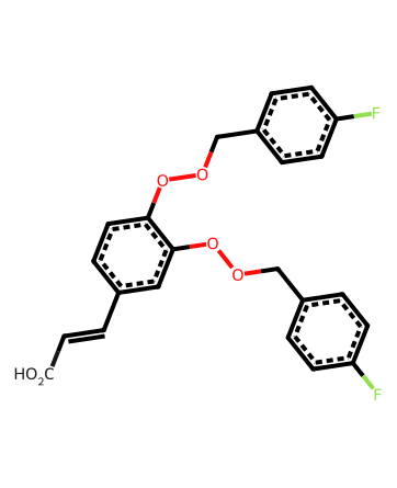 O=C(O)C=Cc1ccc(OOCc2ccc(F)cc2)c(OOCc2ccc(F)cc2)c1